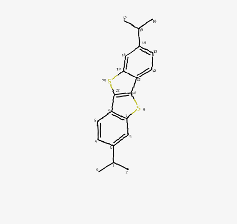 CC(C)c1ccc2c(c1)sc1c3ccc(C(C)C)cc3sc21